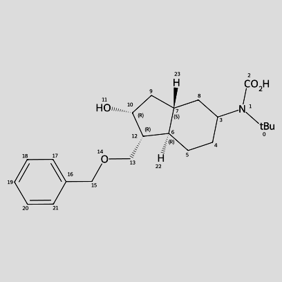 CC(C)(C)N(C(=O)O)C1CC[C@@H]2[C@@H](C1)C[C@@H](O)[C@H]2COCc1ccccc1